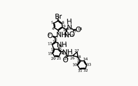 O=C(Nc1ccc(Br)cc1-c1noc(=O)[nH]1)c1cc2cccc(NC(=O)C3CC3c3ccccc3)c2[nH]1